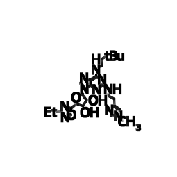 CCc1noc([C@H]2O[C@@H](n3cnc4c(NCCC(C)(C)C)nc(NCCc5cn(C)cn5)nc43)[C@H](O)[C@@H]2O)n1